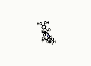 C[C@@H]1CC(=O)N1[C@@H](C(=O)O)[C@](C)(/C=N/NC(=O)c1cc(O)c(O)cc1Br)[SH](=O)=O